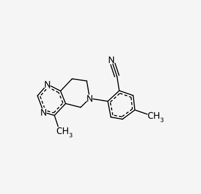 Cc1ccc(N2CCc3ncnc(C)c3C2)c(C#N)c1